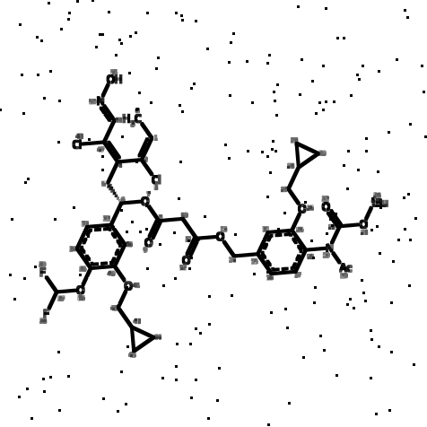 C\C=C(Cl)/C(C[C@H](OC(=O)CC(=O)OCc1ccc(N(C(C)=O)C(=O)OC(C)(C)C)c(OCC2CC2)c1)c1ccc(OC(F)F)c(OCC2CC2)c1)=C(Cl)\C=N\O